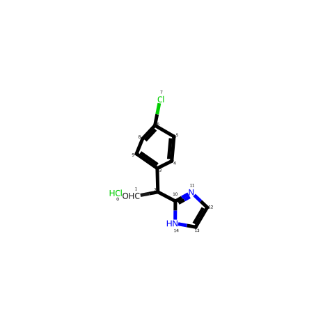 Cl.O=CC(c1ccc(Cl)cc1)c1ncc[nH]1